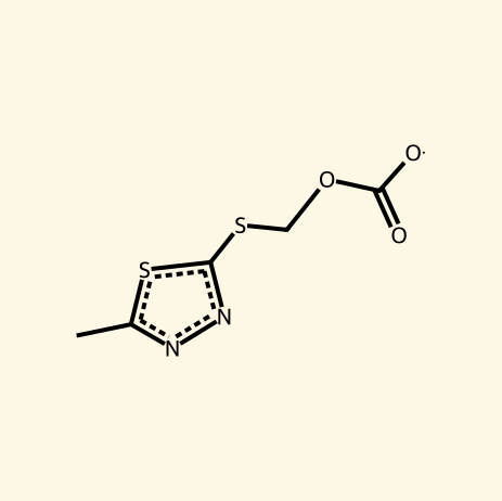 Cc1nnc(SCOC([O])=O)s1